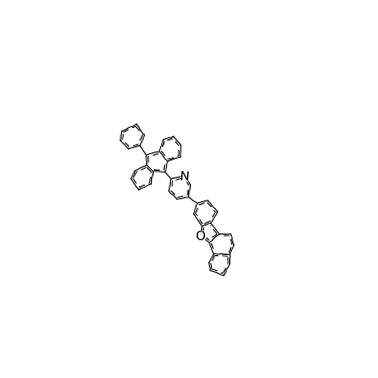 c1ccc(-c2c3ccccc3c(-c3ccc(-c4ccc5c(c4)oc4c6ccccc6ccc54)cn3)c3ccccc23)cc1